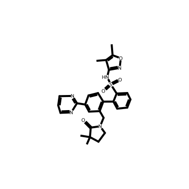 Cc1onc(NS(=O)(=O)c2ccccc2-c2ccc(-c3ncccn3)cc2CN2CCC(C)(C)C2=O)c1C